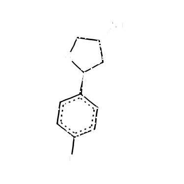 N[C@H]1CO[C@H](c2ccc(F)cc2)C1